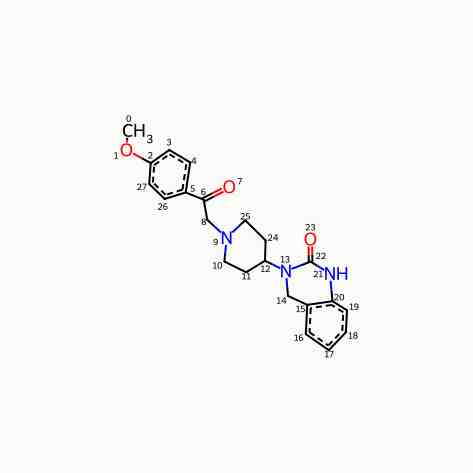 COc1ccc(C(=O)CN2CCC(N3Cc4ccccc4NC3=O)CC2)cc1